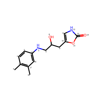 Cc1ccc(NCC(O)Cc2c[nH]c(=O)o2)cc1C